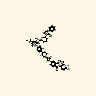 NC(=O)c1nnc(N2CCCC(N3CCN(c4ccccc4)C3=O)C2)nc1Nc1ccc(C2CCN(C3CN(c4ccc5c(c4)C(=O)N(C4CCC(=O)NC4=O)C5=O)C3)CC2)cc1